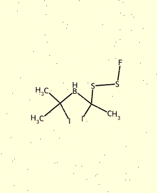 CC(C)(I)BC(C)(I)SSF